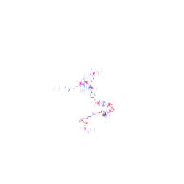 CC(/C=C/C1C[C@]2(CO2)C[C@@H](CC(N)=O)O1)=C\CC1O[C@H](C)[C@H](NC(=O)/C=C\[C@H](C)OC(=O)N2CCN(C(=O)OCc3ccc(NC(=O)[C@H](CCCNC(N)=O)NC(=O)[C@@H](NC(=O)CCCCCN)C(C)C)cc3)CC2)C[C@@H]1C